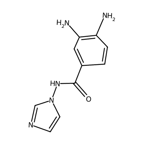 Nc1ccc(C(=O)Nn2ccnc2)cc1N